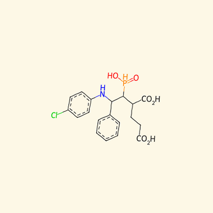 O=C(O)CCC(C(=O)O)C(C(Nc1ccc(Cl)cc1)c1ccccc1)[PH](=O)O